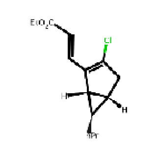 CCC[C@@H]1[C@H]2CC(Cl)=C(C=CC(=O)OCC)[C@@H]12